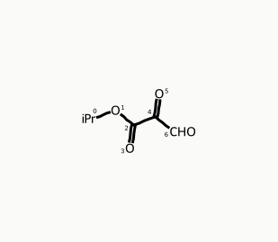 CC(C)OC(=O)C(=O)C=O